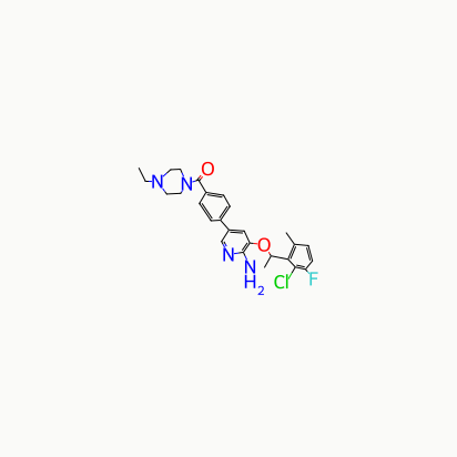 CCN1CCN(C(=O)c2ccc(-c3cnc(N)c(OC(C)c4c(C)ccc(F)c4Cl)c3)cc2)CC1